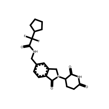 O=C1CCC(N2Cc3cc(CNC(=O)C(F)(F)C4CCCC4)ccc3C2=O)C(=O)N1